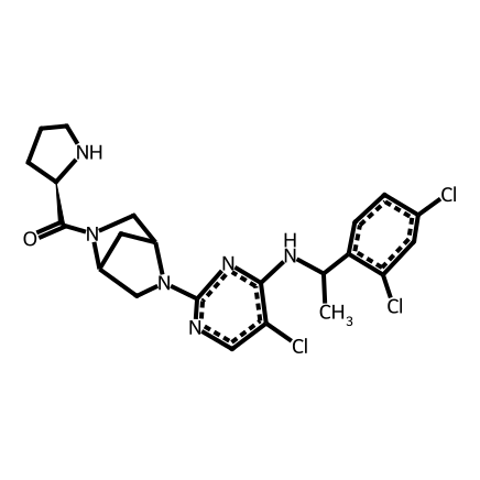 CC(Nc1nc(N2CC3CC2CN3C(=O)[C@H]2CCCN2)ncc1Cl)c1ccc(Cl)cc1Cl